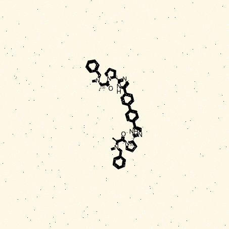 C[C@@H](C(=O)N1CCC[C@H]1c1ncc(-c2ccc(-c3ccc(-c4cnc([C@@H]5CCCN5C(=O)[C@H](C)N(C)Cc5ccccc5)[nH]4)cc3)cc2)[nH]1)N(C)Cc1ccccc1